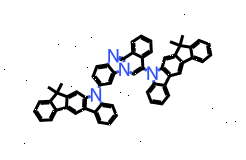 CC1(C)c2ccccc2-c2cc3c4ccccc4n(-c4ccc5nc6c7ccccc7c(-n7c8ccccc8c8cc9c(cc87)C(C)(C)c7ccccc7-9)cn6c5c4)c3cc21